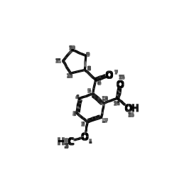 COc1ccc(C(=O)C2CCCC2)c(C(=O)O)c1